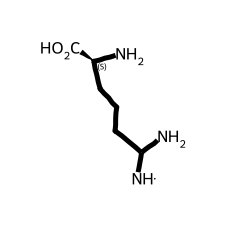 [NH]C(N)CCC[C@H](N)C(=O)O